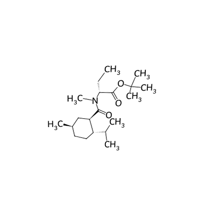 CC[C@H](C(=O)OC(C)(C)C)N(C)C(=O)[C@@H]1C[C@H](C)CC[C@H]1C(C)C